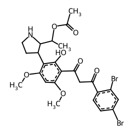 COc1cc(OC)c(C2CCNC2C(C)OC(C)=O)c(O)c1C(=O)CC(=O)c1ccc(Br)cc1Br